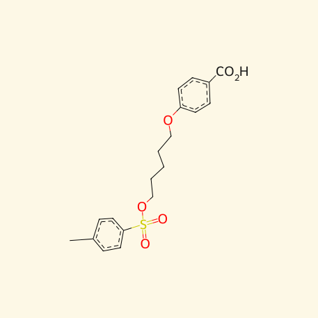 Cc1ccc(S(=O)(=O)OCCCCCOc2ccc(C(=O)O)cc2)cc1